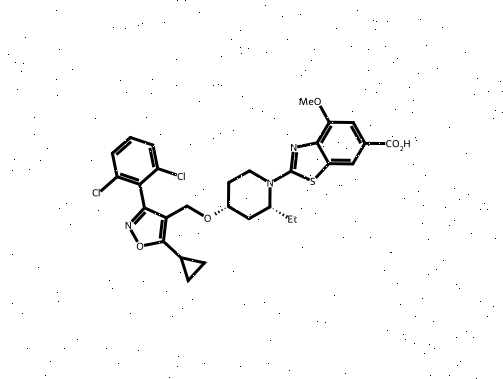 CC[C@@H]1C[C@H](OCc2c(-c3c(Cl)cccc3Cl)noc2C2CC2)CCN1c1nc2c(OC)cc(C(=O)O)cc2s1